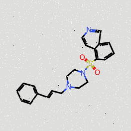 O=S(=O)(c1cccc2cnccc12)N1CCN(CC=Cc2ccccc2)CC1